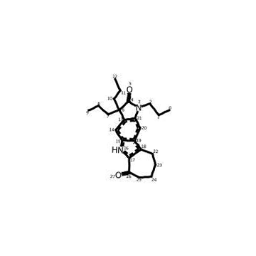 CCCN1C(=O)C(CCC)(CCC)c2cc3[nH]c4c(c3cc21)CCCCC4=O